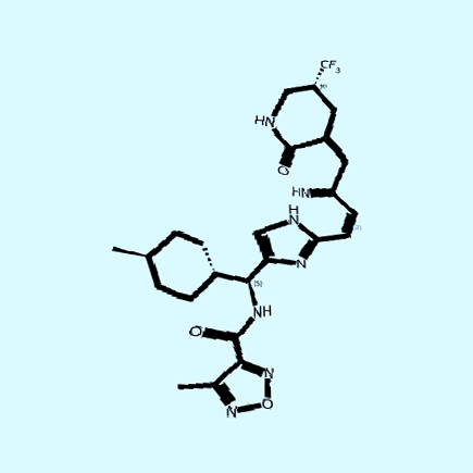 Cc1nonc1C(=O)N[C@H](c1c[nH]c(/C=C\C(=N)CC2C[C@@H](C(F)(F)F)CNC2=O)n1)[C@H]1CC[C@H](C)CC1